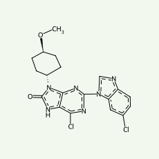 CO[C@H]1CC[C@H](n2c(=O)[nH]c3c(Cl)nc(-n4cnc5ccc(Cl)cc54)nc32)CC1